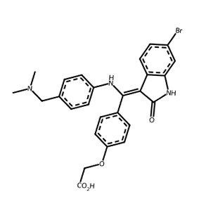 CN(C)Cc1ccc(NC(=C2C(=O)Nc3cc(Br)ccc32)c2ccc(OCC(=O)O)cc2)cc1